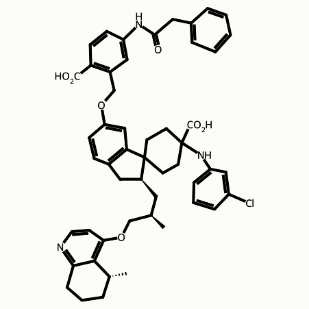 C[C@@H](COc1ccnc2c1[C@H](C)CCC2)C[C@H]1Cc2ccc(OCc3cc(NC(=O)Cc4ccccc4)ccc3C(=O)O)cc2C12CCC(Nc1cccc(Cl)c1)(C(=O)O)CC2